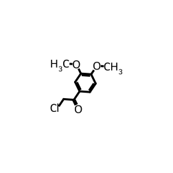 COc1ccc(C(=O)CCl)cc1OC